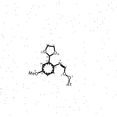 CCOO/C=N\c1ccc(OC)cc1C1OCCO1